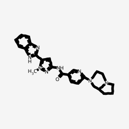 Cn1nc(NC(=O)c2ccc(N3CCN4CCCC4C3)nc2)cc1-c1nc2ccccc2[nH]1